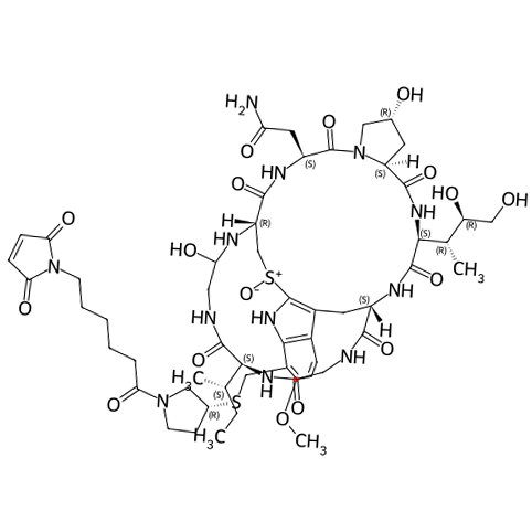 CC[C@H](C)[C@@H]1NC(=O)CNC(=O)[C@@H]2Cc3c([nH]c4c(CS[C@@H]5CCN(C(=O)CCCCCN6C(=O)C=CC6=O)C5)c(OC)ccc34)[S+]([O-])C[C@H](NC(O)CNC1=O)C(=O)N[C@@H](CC(N)=O)C(=O)N1C[C@H](O)C[C@H]1C(=O)N[C@@H]([C@@H](C)[C@@H](O)CO)C(=O)N2